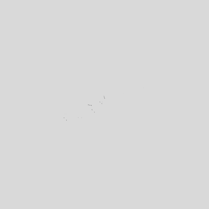 CNCCOCCN(C)C(=O)C(C(C)C)N(C)C(=O)COCCOCCOC